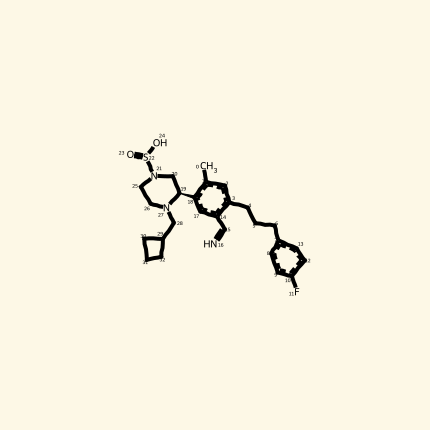 Cc1cc(CCCc2ccc(F)cc2)c(C=N)cc1[C@@H]1CN(S(=O)O)CCN1CC1CCC1